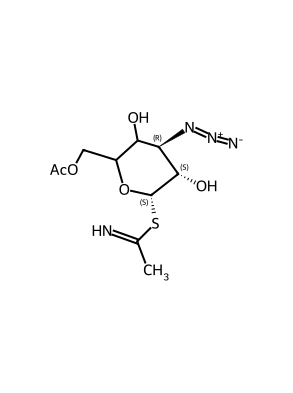 CC(=N)S[C@@H]1OC(COC(C)=O)C(O)[C@@H](N=[N+]=[N-])[C@@H]1O